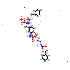 O=C(NCCC[C@H]1Oc2ccc(C[C@H](NC(=O)OCc3ccccc3)C(=O)O)cc2NC1=O)OCc1ccccc1